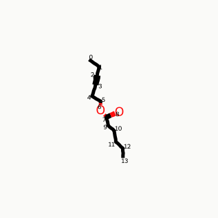 CCC#CCCOC(=O)CCCCC